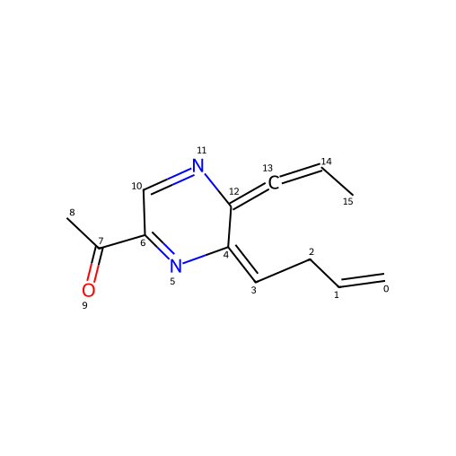 C=CC/C=c1/nc(C(C)=O)cnc1=C=CC